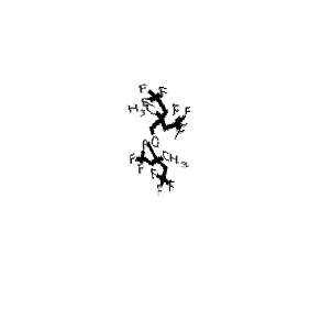 CC(COCC(C)(CC(F)(F)F)CC(F)(F)F)(CC(F)(F)F)CC(F)(F)F